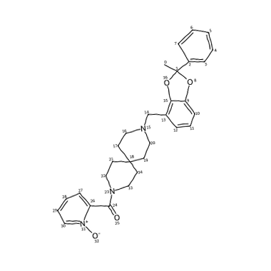 CC1(c2ccccc2)Oc2cccc(CN3CCC4(CC3)CCN(C(=O)c3cccc[n+]3[O-])CC4)c2O1